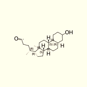 C[C@H](CC[C]=O)[C@H]1CC[C@H]2[C@@H]3CC[C@@H]4CC(O)CC[C@]4(C)[C@H]3CC[C@]12C